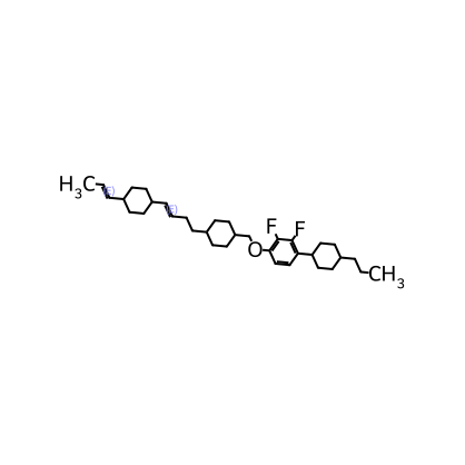 C/C=C/C1CCC(/C=C/CCC2CCC(COc3ccc(C4CCC(CCC)CC4)c(F)c3F)CC2)CC1